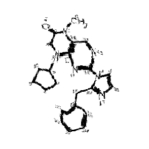 CN1C(=O)CN(C2CCCC2)c2nc(-n3ccnc3Cc3ccccc3)ncc21